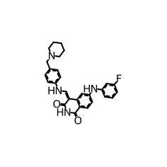 O=C1NC(=O)c2ccc(Nc3cccc(F)c3)cc2/C1=C/Nc1ccc(CN2CCCCC2)cc1